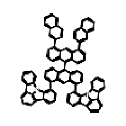 c1ccc2cc(-c3cccc4c(-c5c6cccc(-c7cccc8c9cccc%10c%11ccccc%11n(c78)c%109)c6cc6c(-c7cccc8c9cccc%10c%11ccccc%11n(c78)c%109)cccc56)c5cccc(-c6ccc7ccccc7c6)c5cc34)ccc2c1